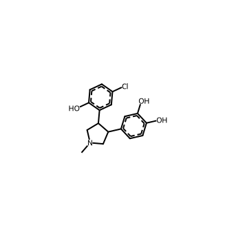 CN1CC(c2ccc(O)c(O)c2)C(c2cc(Cl)ccc2O)C1